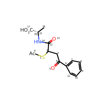 CC(=O)SC(CC(=O)c1ccccc1)C(=O)N[C@@H](C)C(=O)O